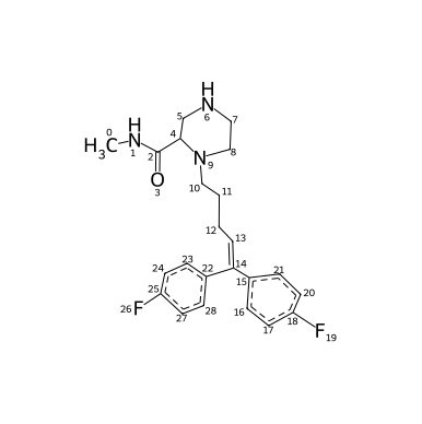 CNC(=O)C1CNCCN1CCCC=C(c1ccc(F)cc1)c1ccc(F)cc1